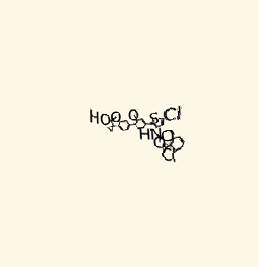 COc1cc(-c2sc(Cl)cc2NC(=O)O[C@H](C)c2ccccc2Cl)ccc1-c1ccc(C2(C(=O)O)CC2)cc1